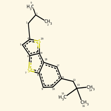 CC(C)Cc1cc2sc3ccc(CC(C)(C)C)cc3c2s1